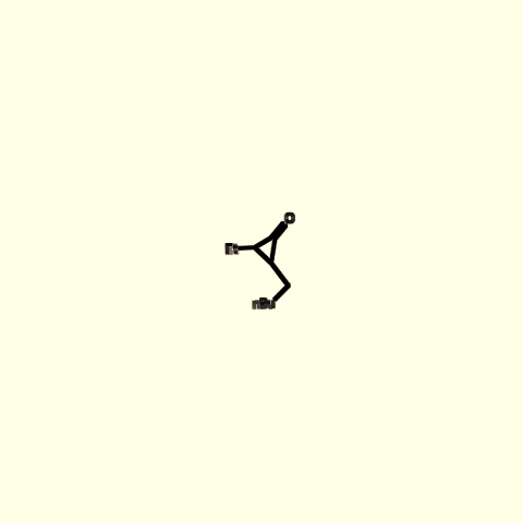 CCCCCC1C(=O)C1CC